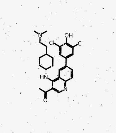 CC(=O)c1cnc2ccc(-c3cc(Cl)c(O)c(Cl)c3)cc2c1N[C@H]1CC[C@H](CCN(C)C)CC1